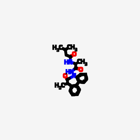 CC(C)CC(=O)N[C@@H](C)C(=O)NN1C(=O)C(C)c2ccccc2-c2ccccc21